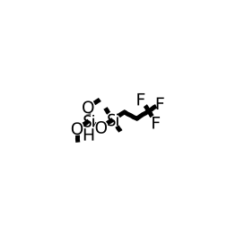 CO[SiH](OC)O[Si](C)(C)CCC(F)(F)F